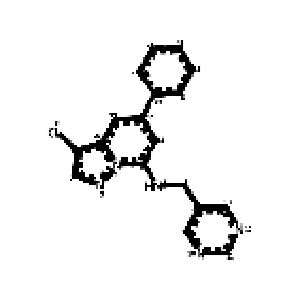 Clc1cnn2c(NCc3cncnc3)cc(-c3ccccc3)cc12